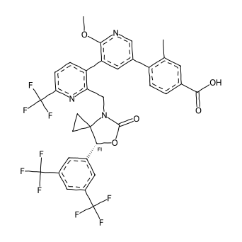 COc1ncc(-c2ccc(C(=O)O)cc2C)cc1-c1ccc(C(F)(F)F)nc1CN1C(=O)O[C@H](c2cc(C(F)(F)F)cc(C(F)(F)F)c2)C12CC2